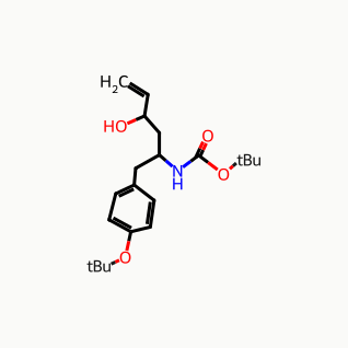 C=CC(O)CC(Cc1ccc(OC(C)(C)C)cc1)NC(=O)OC(C)(C)C